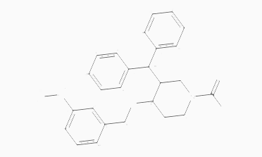 CCC(=O)N1CCC(OCc2cccc(OC(F)(F)F)c2)C(C(c2ccccc2)c2ccccc2)C1